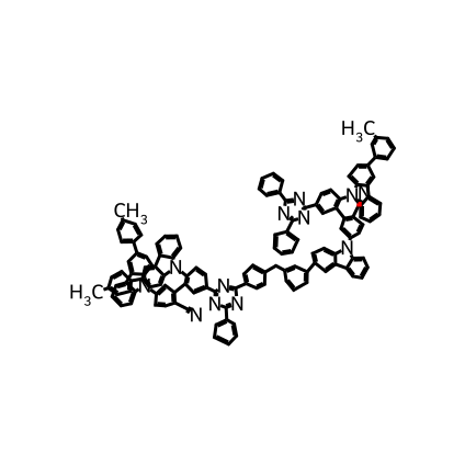 Cc1ccc(-c2ccc3c(c2)c2ccccc2n3-c2ccc(C#N)c(-c3cc(-c4nc(-c5ccccc5)nc(-c5ccc(Cc6cccc(-c7ccc8c(c7)c7ccccc7n8-c7ccc(C#N)c(-c8cc(-c9nc(-c%10ccccc%10)nc(-c%10ccccc%10)n9)ccc8-n8c9ccccc9c9cc(-c%10cccc(C)c%10)ccc98)c7)c6)cc5)n4)ccc3-n3c4ccccc4c4cc(-c5ccc(C)cc5)ccc43)c2)cc1